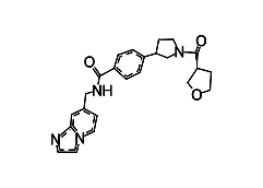 O=C(NCc1ccn2ccnc2c1)c1ccc(C2CCN(C(=O)[C@H]3CCOC3)C2)cc1